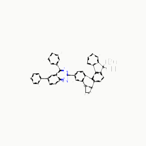 CC(C)(C)C1(C)c2ccccc2-c2c1ccc1c2-c2ccc(-c3nc(-c4ccccc4)c4cc(-c5ccccc5)ccc4n3)cc2C2CCC12